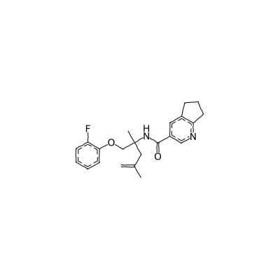 C=C(C)CC(C)(COc1ccccc1F)NC(=O)c1cnc2c(c1)CCC2